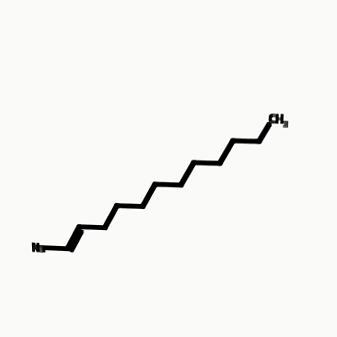 CCCCCCCCCCC=[CH][Na]